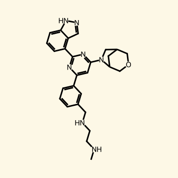 CNCCNCc1cccc(-c2cc(N3CC4COCC3C4)nc(-c3cccc4[nH]ncc34)n2)c1